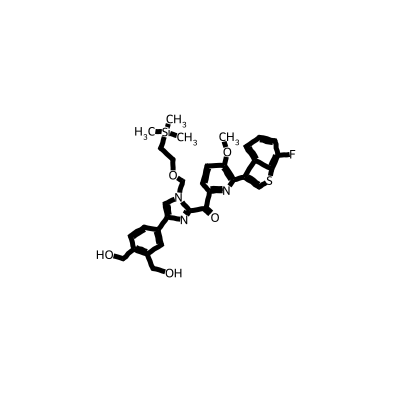 COc1ccc(C(=O)c2nc(-c3ccc(CO)c(CO)c3)cn2COCC[Si](C)(C)C)nc1-c1csc2c(F)cccc12